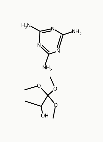 COC(OC)(OC)C(C)O.Nc1nc(N)nc(N)n1